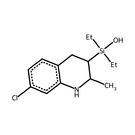 CC[Si](O)(CC)C1Cc2ccc(Cl)cc2NC1C